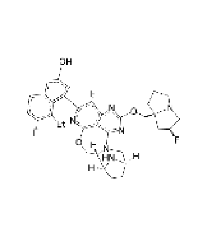 CCc1c(F)ccc2cc(O)cc(-c3nc4c5c(nc(OC[C@@]67CCCN6C[C@@H](F)C7)nc5c3F)N3C[C@H]5CC[C@H](N5)[C@@H]3CO4)c12